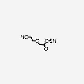 O=C(COCCO)OS